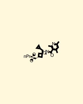 CCCS(=O)(=O)C[C@H]1C[C@](CNC(=O)c2c(C)cc(C)nc2C)(CC2CC2)C1